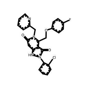 O=c1c2c(COc3ccc(F)cc3)n(Cc3ccccn3)c(=O)cc2[nH]n1-c1ccccc1Cl